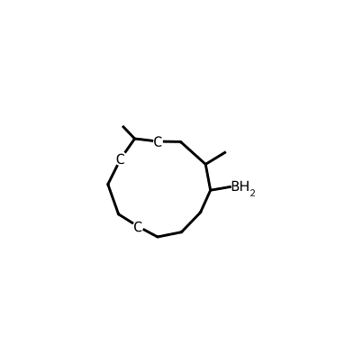 BC1CCCCCCCC(C)CCC1C